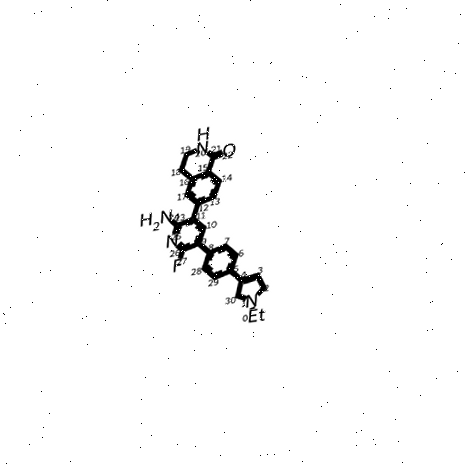 CCN1CC=C(c2ccc(-c3cc(-c4ccc5c(c4)CCNC5=O)c(N)nc3F)cc2)C1